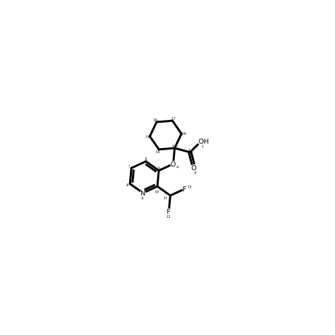 O=C(O)C1(Oc2cccnc2C(F)F)CCCCC1